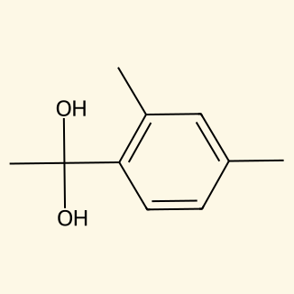 Cc1ccc(C(C)(O)O)c(C)c1